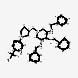 FC(F)(F)c1ccc(N2CC[C@@H](CN3C[C@H](OCc4ccccc4)C(OCc4ccccc4)[C@H](OCc4ccccc4)C3)C2)cn1